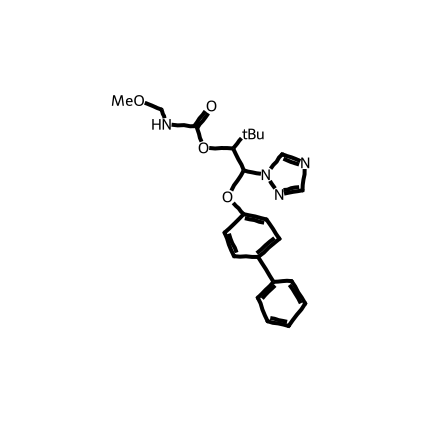 COCNC(=O)OC(C(Oc1ccc(-c2ccccc2)cc1)n1cncn1)C(C)(C)C